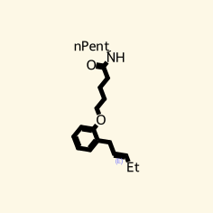 [CH2]C/C=C/Cc1ccccc1OCCCCC(=O)NCCCCC